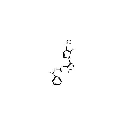 Cc1nc(-c2nnn(C)c2NC(=O)NC(C)c2ccccc2)ccc1NS(C)(=O)=O